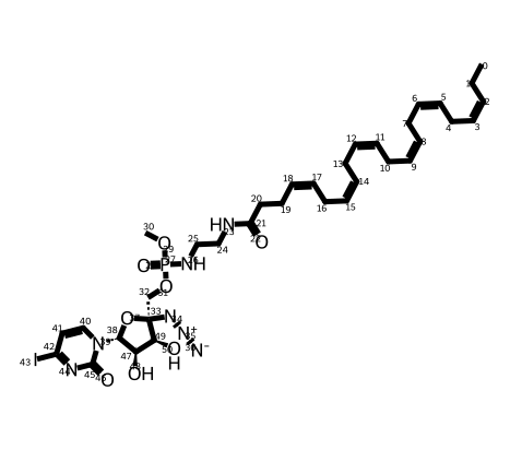 CC/C=C\C/C=C\C/C=C\C/C=C\C/C=C\C/C=C\CCC(=O)NCCNP(=O)(OC)OC[C@@]1(N=[N+]=[N-])O[C@@H](n2ccc(I)nc2=O)[C@H](O)[C@@H]1O